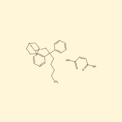 CCCCCC(CC1CC2CCN1CC2)(c1ccccc1)c1ccccc1.O=C(O)/C=C\C(=O)O